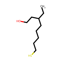 CCC(CCO)CCCCCS